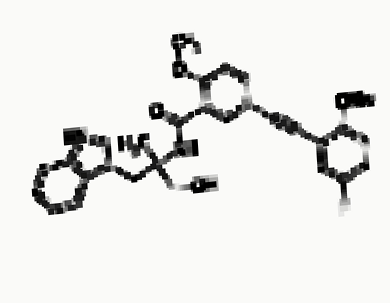 COc1ccc(F)cc1C#Cc1ccc(OC(F)(F)F)c(C(=O)NC(C)(CO)Cc2c[nH]c3ccccc23)c1